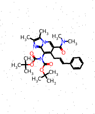 Cc1nc2c(N(C(=O)OC(C)(C)C)C(=O)OC(C)(C)C)c(C/C=C/c3ccccc3)c(C(=O)N(C)C)cn2c1C